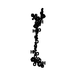 CCCOc1cccc(Oc2cc3c(cc2NS(=O)(=O)c2cccc(C(=O)NCCCOCCOCCOCCCNC(=O)COc4cccc5c4C(=O)N(C4CCC(=O)NC4=O)C5=O)c2)n(C)c(=O)n3C)c1